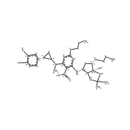 CCCSc1nc(N[C@@H]2C[C@H](OCCO)[C@H]3OC(C)(C)OC23)c([N+](=O)[O-])c(N(C)C2C[C@H]2c2ccc(F)c(F)c2)n1